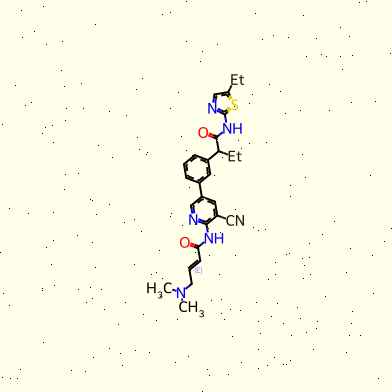 CCc1cnc(NC(=O)C(CC)c2cccc(-c3cnc(NC(=O)/C=C/CN(C)C)c(C#N)c3)c2)s1